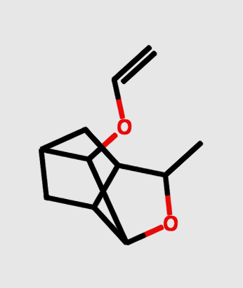 C=COC1C2CC3C(C)OC1C3C2